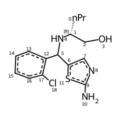 CCC[C@H](CO)NC(c1cnc(N)s1)c1ccccc1Cl